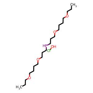 CCCOCCCCOCCCPCCCOCCCCOCCC.OCl